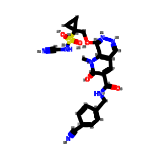 Cn1c(=O)c(C(=O)NCc2ccc(C#N)cc2)cc2cnnc(OCC3(S(=O)(=O)NC#N)CC3)c21